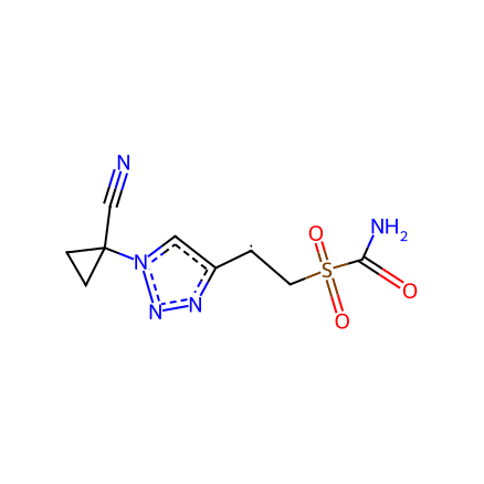 N#CC1(n2cc([CH]CS(=O)(=O)C(N)=O)nn2)CC1